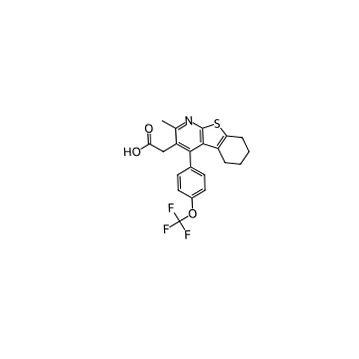 Cc1nc2sc3c(c2c(-c2ccc(OC(F)(F)F)cc2)c1CC(=O)O)CCCC3